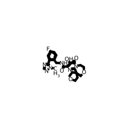 Cn1ncnc1-c1cc(F)ccc1CNC(=O)c1nc2n(c(=O)c1O)CCOCC21CCOCC1